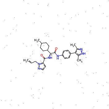 C=CCn1nccc1C(=O)N[C@H](C(=O)Nc1ccc(-c2c(C)n[nH]c2C)cc1)C1CCC(C)CC1